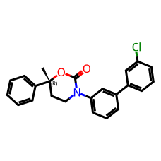 C[C@]1(c2ccccc2)CCN(c2cccc(-c3cccc(Cl)c3)c2)C(=O)O1